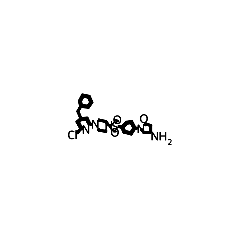 NC1CC(=O)N(c2ccc(S(=O)(=O)N3CCN(c4cc(Cc5ccccc5)cc(Cl)n4)CC3)cc2)C1